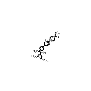 Cc1cc(-c2[nH]c3cc(-c4ccc(N5CCN(C(=O)OC(C)(C)C)CC5)nc4)ccc3c2C)cc(C)n1